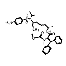 COC(=O)N[C@H](C(=O)N[C@@H](C)CCC[C@@H](CO)N(C(C)C)S(=O)(=O)c1ccc(N)cc1)C(c1ccccc1)c1ccccc1